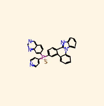 S=P(c1ccncc1)(c1ccc2cncnc2c1)c1ccc2c(c1)c1ccccc1n1c3ccccc3nc21